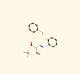 CC1(C)OC(=O)C(C=Nc2ccccc2OCc2ccccc2)C(=O)O1